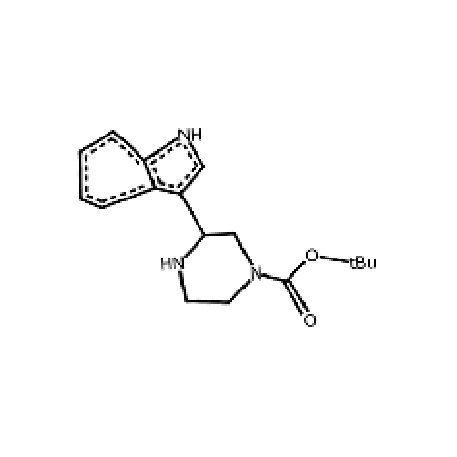 CC(C)(C)OC(=O)N1CCNC(c2c[nH]c3ccccc23)C1